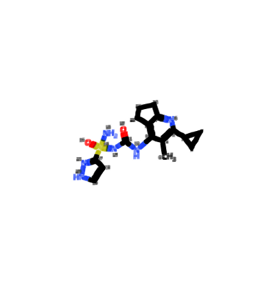 Cc1c(C2CC2)nc2c(c1NC(=O)N=S(N)(=O)c1cc[nH]n1)CCC2